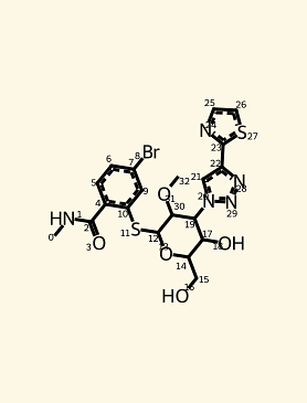 CNC(=O)c1ccc(Br)cc1SC1OC(CO)C(O)C(n2cc(-c3nccs3)nn2)C1OC